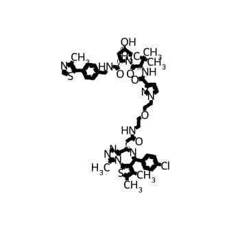 Cc1ncsc1-c1ccc(CNC(=O)[C@@H]2C[C@@H](O)CN2C(=O)[C@@H](NC(=O)c2ccn(CCOCCNC(=O)C[C@@H]3N=C(c4ccc(Cl)cc4)c4c(sc(C)c4C)-n4c(C)nnc43)n2)C(C)(C)C)cc1